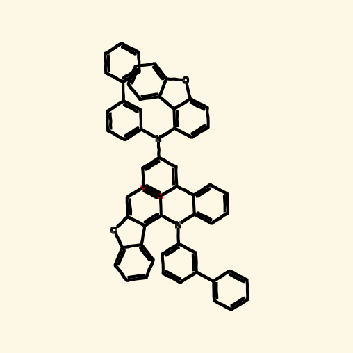 c1ccc(-c2cccc(N(c3cccc(-c4ccccc4N(c4cccc(-c5ccccc5)c4)c4cccc5oc6ccccc6c45)c3)c3cccc4oc5ccccc5c34)c2)cc1